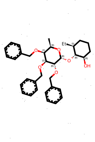 CC[C@H]1CCC[C@@H](O)[C@@H]1O[C@H]1O[C@H](C)[C@H](OCc2ccccc2)[C@H](OCc2ccccc2)[C@H]1OCc1ccccc1